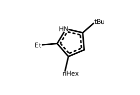 CCCCCCc1cc(C(C)(C)C)[nH]c1CC